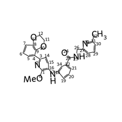 COc1nc(-c2cccc3c2OCCO3)ccc1Nc1cccc(C(=O)NCc2cccc(C)n2)c1